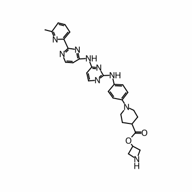 Cc1cccc(-c2nccc(Nc3ccnc(Nc4ccc(N5CCC(C(=O)OC6CNC6)CC5)cc4)n3)n2)n1